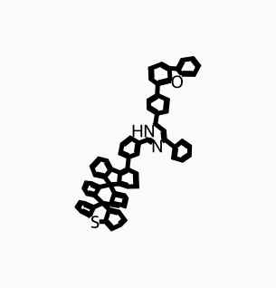 C1=C(c2ccccc2)N=C(c2cccc(-c3cccc4c3-c3ccccc3C43c4ccccc4C4(c5ccccc5Sc5ccccc54)c4ccccc43)c2)NC1c1ccc(-c2cccc3c2oc2ccccc23)cc1